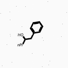 CCCC(O)Cc1ccccc1